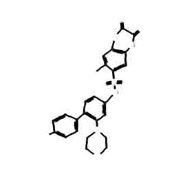 Cc1cc2[nH]c(=O)c(=O)[nH]c2cc1S(=O)(=O)Nc1ccc(-c2ccc(F)cc2)c(N2CCOCC2)c1